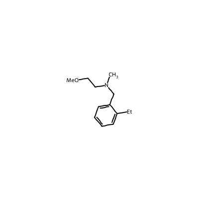 CCc1ccccc1CN(C)CCOC